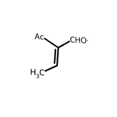 CC=C([C]=O)C(C)=O